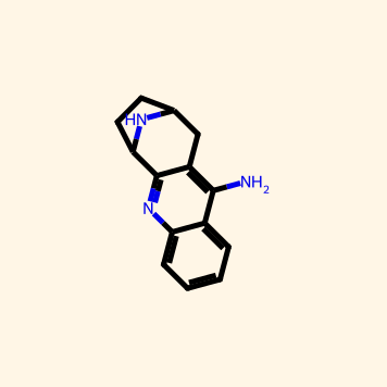 Nc1c2c(nc3ccccc13)C1CCC(C2)N1